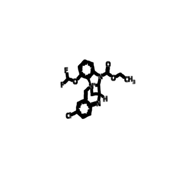 CCOC(=O)N1c2cccc(OC(F)F)c2[N@+]23C=c4cc(Cl)ccc4=N[C@H](C2)C13